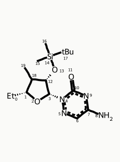 CC[C@H]1O[C@@H](n2ncc(N)nc2=O)[C@@H](O[Si](C)(C)C(C)(C)C)C1C